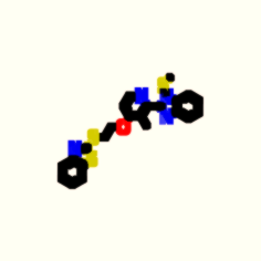 CSn1c(-c2nccc(OCCSc3nc4ccccc4s3)c2C)nc2ccccc21